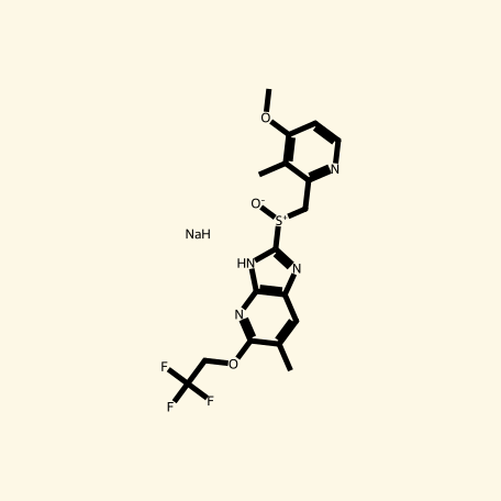 COc1ccnc(C[S+]([O-])c2nc3cc(C)c(OCC(F)(F)F)nc3[nH]2)c1C.[NaH]